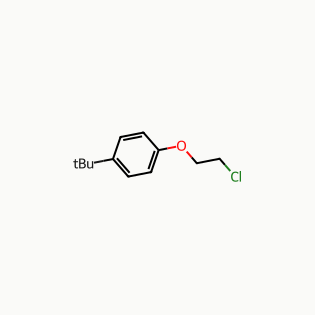 CC(C)(C)c1ccc(OCCCl)cc1